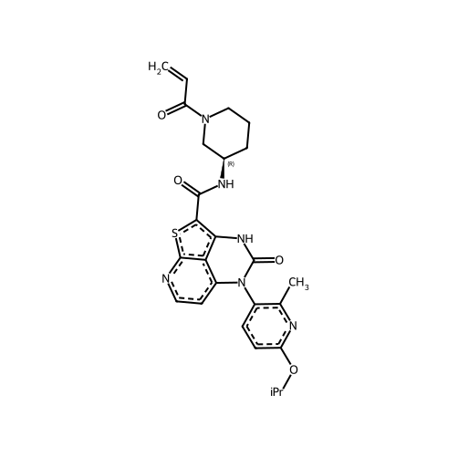 C=CC(=O)N1CCC[C@@H](NC(=O)c2sc3nccc4c3c2NC(=O)N4c2ccc(OC(C)C)nc2C)C1